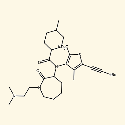 Cc1c(C#CC(C)(C)C)sc(C(=O)O)c1N(C(=O)C1CCC(C)CC1)C1CCCCN(CCN(C)C)C1=O